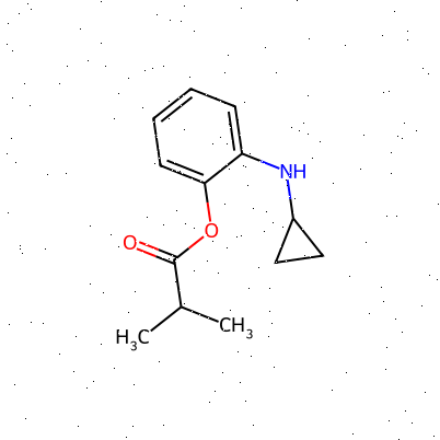 CC(C)C(=O)Oc1ccccc1NC1CC1